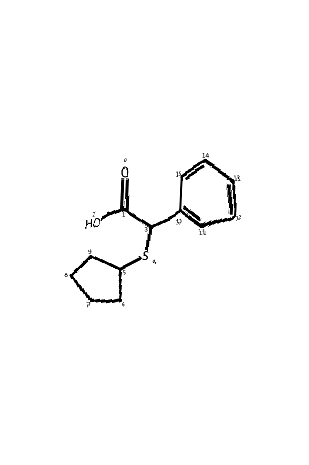 O=C(O)C(SC1CCCC1)c1ccccc1